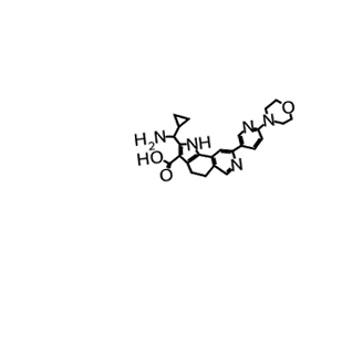 NC(c1[nH]c2c(c1C(=O)O)CCc1cnc(-c3ccc(N4CCOCC4)nc3)cc1-2)C1CC1